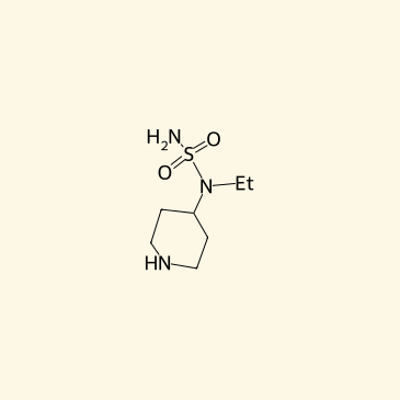 CCN(C1CCNCC1)S(N)(=O)=O